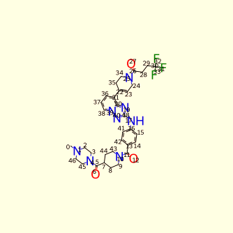 CN1CCN(C(=O)C2CCN(C(=O)c3ccc(Nc4nc5c(C6=CCN(C(=O)CCC(F)(F)F)CC6)cccn5n4)cc3)CC2)CC1